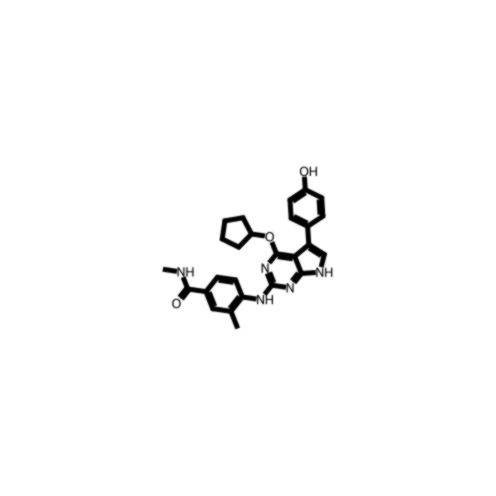 CNC(=O)c1ccc(Nc2nc(OC3CCCC3)c3c(-c4ccc(O)cc4)c[nH]c3n2)c(C)c1